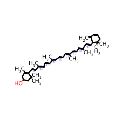 C=C1C=CCC(C)(C)[C@H]1/C=C/C(C)=C/C=C/C(C)=C/C=C/C=C(C)/C=C/C=C(C)/C=C/C1=C(C)CC(O)CC1(C)C